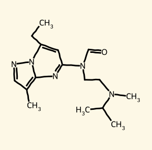 CCc1cc(N(C=O)CCN(C)C(C)C)nc2c(C)cnn12